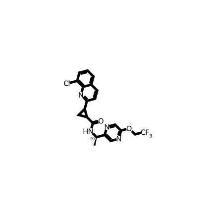 C[C@@H](NC(=O)C1CC1c1ccc2cccc(Cl)c2n1)c1cnc(OCC(F)(F)F)cn1